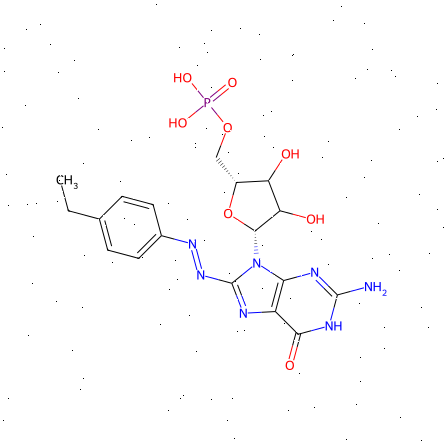 CCc1ccc(N=Nc2nc3c(=O)[nH]c(N)nc3n2[C@@H]2O[C@H](COP(=O)(O)O)C(O)C2O)cc1